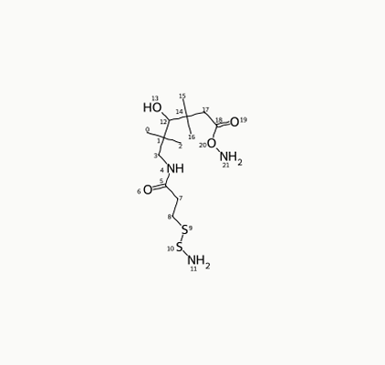 CC(C)(CNC(=O)CCSSN)C(O)C(C)(C)CC(=O)ON